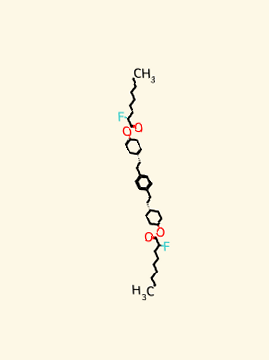 CCCCCCC[C@H](F)C(=O)O[C@H]1CC[C@H](CCc2ccc(CC[C@H]3CC[C@H](OC(=O)[C@@H](F)CCCCCCC)CC3)cc2)CC1